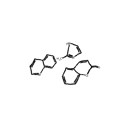 Cc1ncc[nH]1.O=c1ccc2ccccc2o1.c1ccc2ncccc2c1